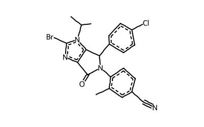 Cc1cc(C#N)ccc1N1C(=O)c2nc(Br)n(C(C)C)c2C1c1ccc(Cl)cc1